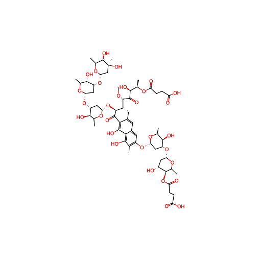 CO[C@H](C(=O)[C@@H](O)[C@@H](C)OC(=O)CCC(=O)O)[C@@H]1Cc2cc3cc(O[C@H]4C[C@@H](O[C@H]5C[C@@H](O)[C@H](OC(=O)CCC(=O)O)C(C)O5)[C@H](O)C(C)O4)c(C)c(O)c3c(O)c2C(=O)[C@H]1O[C@H]1C[C@@H](O[C@H]2C[C@@H](O[C@H]3C[C@](C)(O)[C@H](O)C(C)O3)[C@@H](O)C(C)O2)[C@H](O)C(C)O1